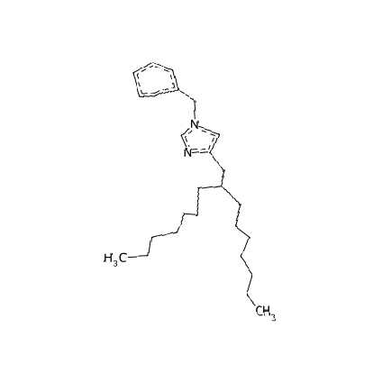 CCCCCCCC(CCCCCCC)Cc1cn(Cc2ccccc2)cn1